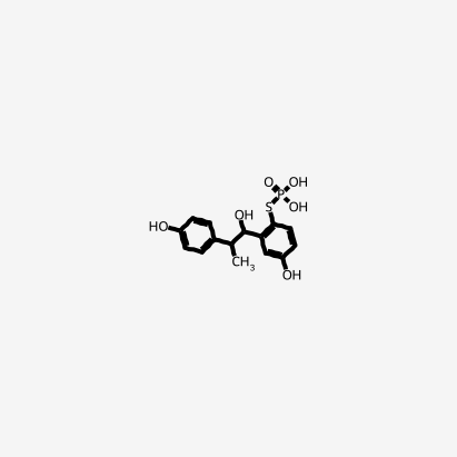 CC(c1ccc(O)cc1)C(O)c1cc(O)ccc1SP(=O)(O)O